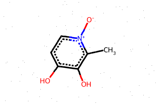 Cc1c(O)c(O)cc[n+]1[O-]